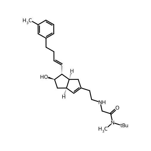 Cc1cccc(CC/C=C/[C@@H]2[C@H]3CC(CCNCC(=O)N(C)C(C)(C)C)=C[C@H]3C[C@H]2O)c1